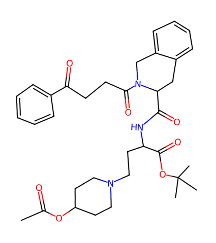 CC(=O)OC1CCN(CCC(NC(=O)C2Cc3ccccc3CN2C(=O)CCC(=O)c2ccccc2)C(=O)OC(C)(C)C)CC1